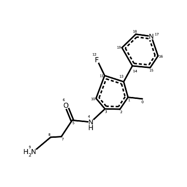 Cc1cc(NC(=O)CCN)cc(F)c1-c1ccncc1